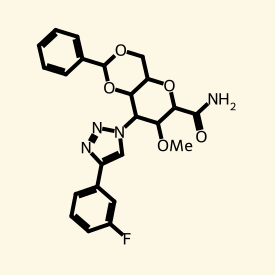 COC1C(C(N)=O)OC2COC(c3ccccc3)OC2C1n1cc(-c2cccc(F)c2)nn1